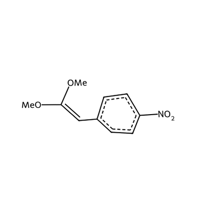 COC(=Cc1ccc([N+](=O)[O-])cc1)OC